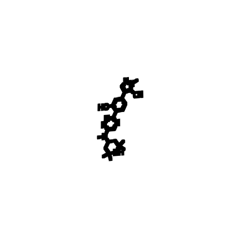 CN(c1cnc(-c2ccc(-c3cnn(C)c3C#N)cc2O)nn1)C1CC(C)(C)NC(C)(C)C1